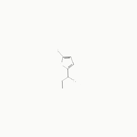 CCC(N)c1ccc(Cl)s1